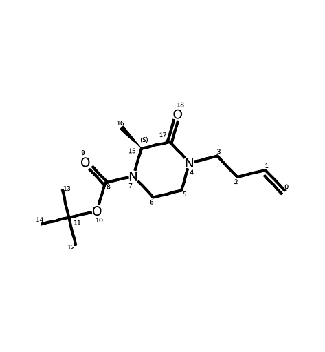 C=CCCN1CCN(C(=O)OC(C)(C)C)[C@@H](C)C1=O